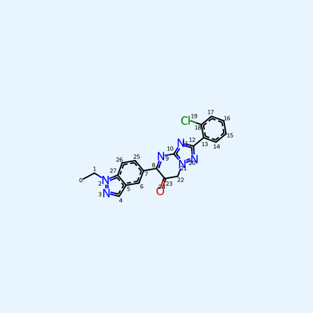 CCn1ncc2cc(C3=Nc4nc(-c5ccccc5Cl)nn4CC3=O)ccc21